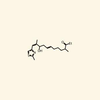 CCC(=O)C(C)CCCC=CCC(O)C(C)=Cc1csc(C)n1